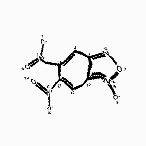 O=[N+]([O-])c1cc2no[n+]([O-])c2cc1[N+](=O)[O-]